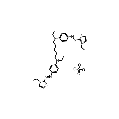 CCN(CCCCCN(CC)c1ccc(N=Nc2scc[n+]2CC)cc1)c1ccc(N=Nc2scc[n+]2CC)cc1.O=S(=O)([O-])[O-]